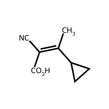 CC(=C(C#N)C(=O)O)C1CC1